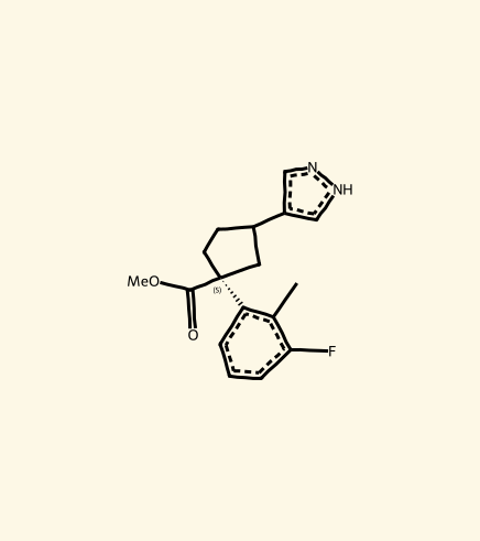 COC(=O)[C@@]1(c2cccc(F)c2C)CCC(c2cn[nH]c2)C1